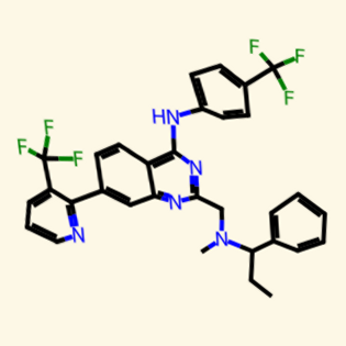 CCC(c1ccccc1)N(C)Cc1nc(Nc2ccc(C(F)(F)F)cc2)c2ccc(-c3ncccc3C(F)(F)F)cc2n1